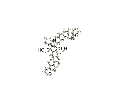 Cc1c(-c2cc3cc(N(C(=O)O)C([C@@H]4CCCCO4)N(C(=O)O)c4cc5cc(-c6cnc7c(c6C)NCCO7)c(F)cc5cn4)ncc3cc2F)cnc2c1NCCO2